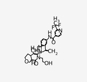 C=C(CNC1=C(C)C2CCOC[C@H]2C(=O)N1CCO)c1cc(NC(=O)c2ccnc(C(C)(F)F)c2)ccc1C